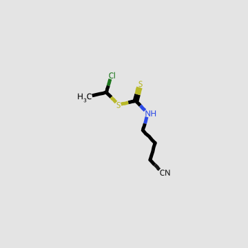 CC(Cl)SC(=S)NCCCC#N